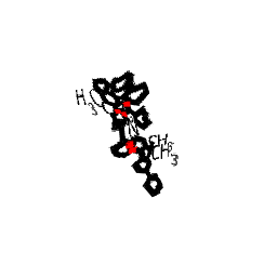 CC1(C)c2cc(-c3ccccc3)ccc2-c2ccc(N(c3ccccc3-c3ccccc3)c3ccccc3-c3ccc4c(c3)C3(c5ccccc5-c5ccccc53)c3ccccc3C4(C)C)cc21